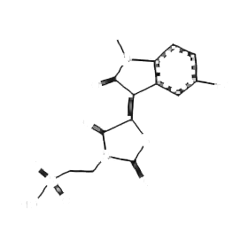 CN1C(=O)/C(=C2/SC(=S)N(CCS(=O)(=O)O)C2=O)c2cc(Br)ccc21